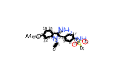 C=Cn1c(-c2ccc(NS(C)(=O)=O)cc2)c(N)c2ccc(OC)cc21